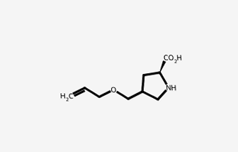 C=CCOCC1CN[C@H](C(=O)O)C1